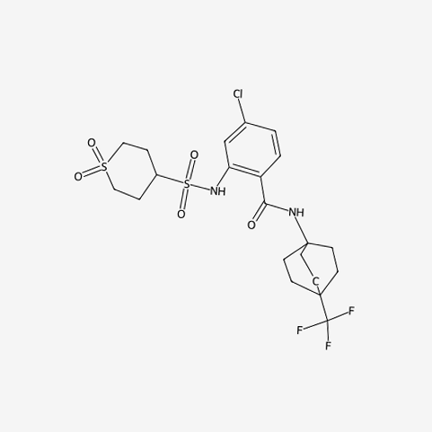 O=C(NC12CCC(C(F)(F)F)(CC1)CC2)c1ccc(Cl)cc1NS(=O)(=O)C1CCS(=O)(=O)CC1